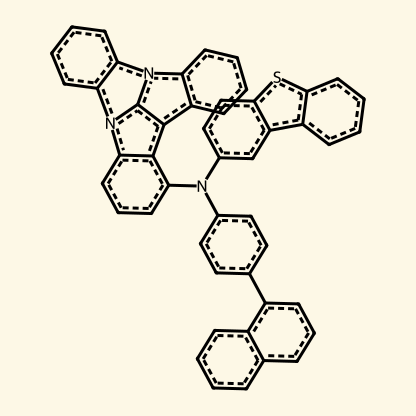 c1ccc2c(-c3ccc(N(c4ccc5sc6ccccc6c5c4)c4cccc5c4c4c6ccccc6n6c7ccccc7n5c46)cc3)cccc2c1